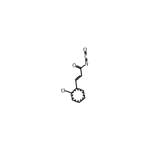 O=C=NC(=O)C=Cc1ccccc1Cl